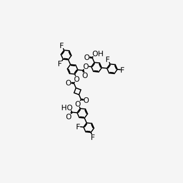 O=C(O)c1cc(-c2ccc(F)cc2F)ccc1OC(=O)c1cc(-c2ccc(F)cc2F)ccc1OC(=O)C1CC(C(=O)Oc2ccc(-c3ccc(F)cc3F)cc2C(=O)O)C1